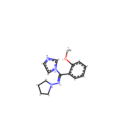 CCCOc1ccccc1C(=NN1CCCC1)n1ccnc1